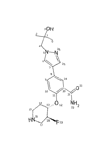 CC(C)(O)Cn1cc(-c2ccc(O[C@H]3CCNC[C@@H]3F)c(C(N)=O)c2)cn1